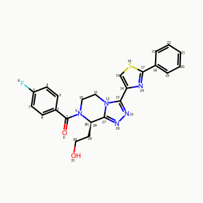 O=C(c1ccc(F)cc1)N1CCn2c(-c3csc(-c4ccccc4)n3)nnc2[C@H]1CCO